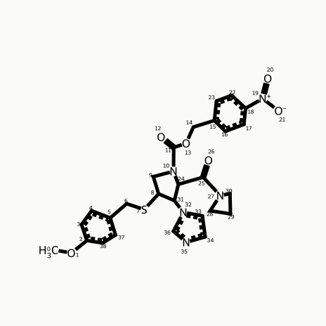 COc1ccc(CSC2CN(C(=O)OCc3ccc([N+](=O)[O-])cc3)C(C(=O)N3CCC3)C2n2ccnc2)cc1